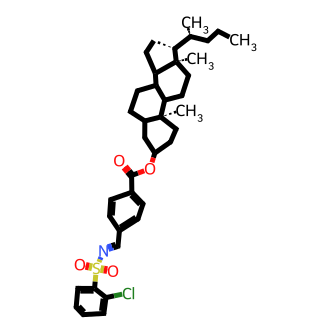 CCC[C@@H](C)[C@H]1CCC2C3CCC4CC(OC(=O)c5ccc(C=NS(=O)(=O)c6ccccc6Cl)cc5)CC[C@]4(C)C3CC[C@@]21C